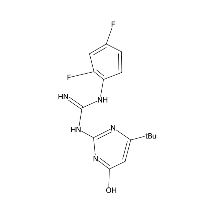 CC(C)(C)c1cc(O)nc(NC(=N)Nc2ccc(F)cc2F)n1